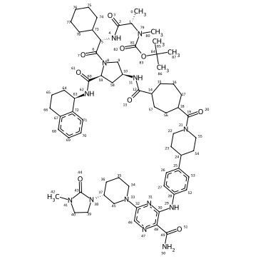 C[C@@H](C(=O)N[C@H](C(=O)N1C[C@@H](NC(=O)C2CCCC(C(=O)N3CCC(c4ccc(Nc5nc(N6CCC[C@@H](N7CCN(C)C7=O)C6)cnc5C(N)=O)cc4)CC3)CC2)C[C@H]1C(=O)N[C@@H]1CCCc2ccccc21)C1CCCCC1)N(C)C(=O)OC(C)(C)C